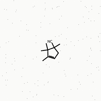 CC1=CCC(C)(C#N)C1(C)C